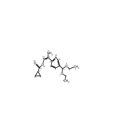 CCOC(OCC)c1ccc(/C(N)=N\OC(=O)C2CC2)nc1